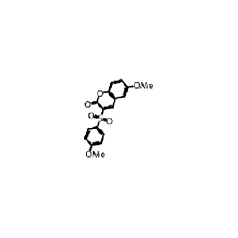 COc1ccc(S(=O)(=O)c2cc3cc(OC)ccc3oc2=O)cc1